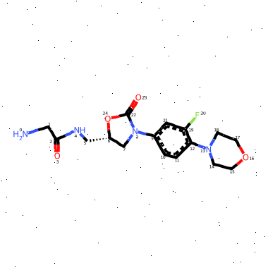 NCC(=O)NC[C@H]1CN(c2ccc(N3CCOCC3)c(F)c2)C(=O)O1